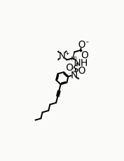 CCCCCCC#Cc1cccc(N(C)S(=O)(=O)N[C@H](CC(=O)[O-])C[N+](C)(C)C)c1